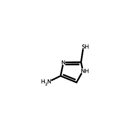 Nc1c[nH]c(S)n1